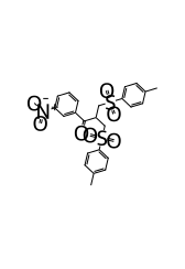 Cc1ccc(S(=O)(=O)CC(CS(=O)(=O)c2ccc(C)cc2)C(=O)c2cccc([N+](=O)[O-])c2)cc1